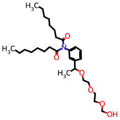 CCCCCCCC(=O)N(C(=O)CCCCCCC)c1cccc(C(C)OCCOCCOCO)c1